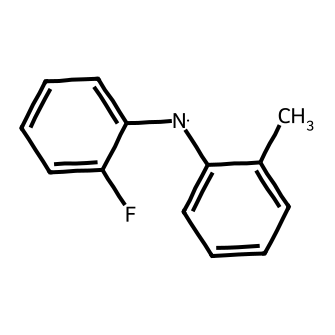 Cc1ccccc1[N]c1ccccc1F